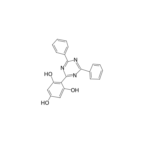 Oc1cc(O)c(-c2nc(-c3ccccc3)nc(-c3ccccc3)n2)c(O)c1